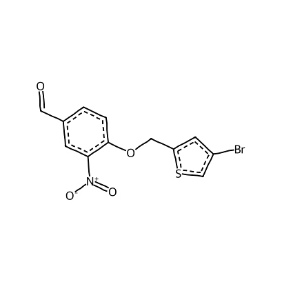 O=Cc1ccc(OCc2cc(Br)cs2)c([N+](=O)[O-])c1